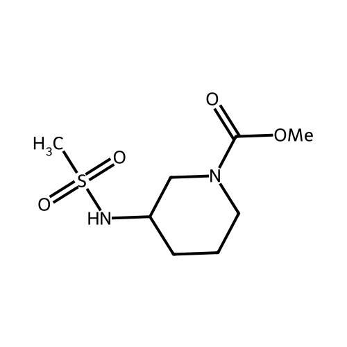 COC(=O)N1CCCC(NS(C)(=O)=O)C1